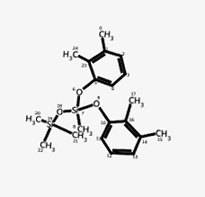 Cc1cccc(O[Si](C)(Oc2cccc(C)c2C)O[Si](C)(C)C)c1C